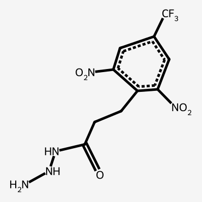 NNNC(=O)CCc1c([N+](=O)[O-])cc(C(F)(F)F)cc1[N+](=O)[O-]